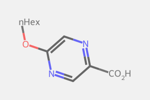 CCCCCCOc1cnc(C(=O)O)cn1